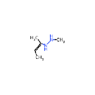 C/C=C(/C)NNC